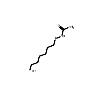 CCCCCCCCCCCCSNC(N)=O